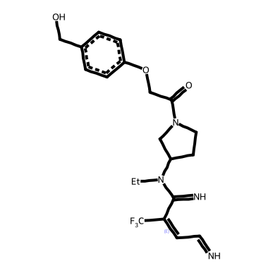 CCN(C(=N)/C(=C\C=N)C(F)(F)F)C1CCN(C(=O)COc2ccc(CO)cc2)C1